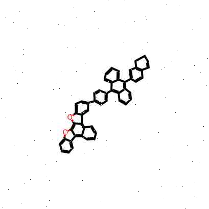 C1=Cc2ccc(-c3c4ccccc4c(-c4ccc(-c5ccc6oc7c8oc9ccccc9c8c8ccccc8c7c6c5)cc4)c4ccccc34)cc2CC1